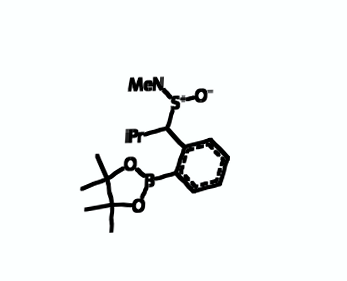 CN[S+]([O-])C(c1ccccc1B1OC(C)(C)C(C)(C)O1)C(C)C